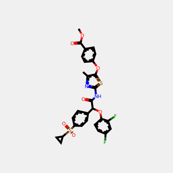 COC(=O)c1ccc(Oc2sc(NC(=O)C(Oc3ccc(F)cc3F)c3ccc(S(=O)(=O)C4CC4)cc3)nc2C)cc1